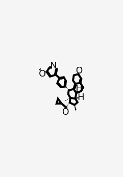 COc1cncc(-c2ccc([C@H]3C[C@@]4(C)[C@@H](C[C@@H](C)[C@@H]4C(=O)C4CC4)[C@@H]4CCC5=CC(=O)CCC5=C43)cc2)c1